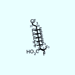 O=C(O)C(=C(F)F)C(F)(F)C(F)(F)C(F)(F)C(F)(F)C(F)(F)CCC(F)(F)F